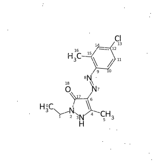 CCn1[nH]c(C)c(N=Nc2ccc(Cl)cc2C)c1=O